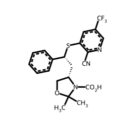 CC1(C)OC[C@H](C[C@@H](Sc2cc(C(F)(F)F)cnc2C#N)c2ccccc2)N1C(=O)O